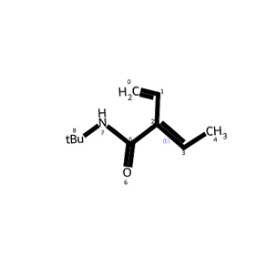 C=C/C(=C\C)C(=O)NC(C)(C)C